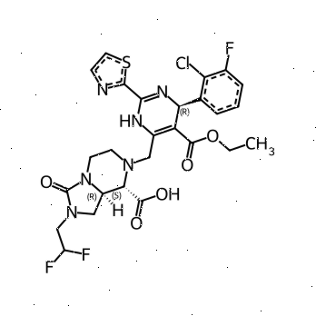 CCOC(=O)C1=C(CN2CCN3C(=O)N(CC(F)F)C[C@@H]3[C@H]2C(=O)O)NC(c2nccs2)=N[C@H]1c1cccc(F)c1Cl